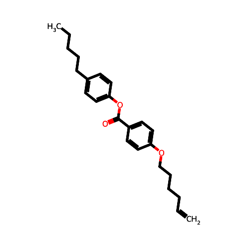 C=CCCCCOc1ccc(C(=O)Oc2ccc(CCCCC)cc2)cc1